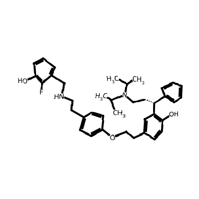 CC(C)N(CC[C@H](c1ccccc1)c1cc(CCOc2ccc(CCNCc3cccc(O)c3F)cc2)ccc1O)C(C)C